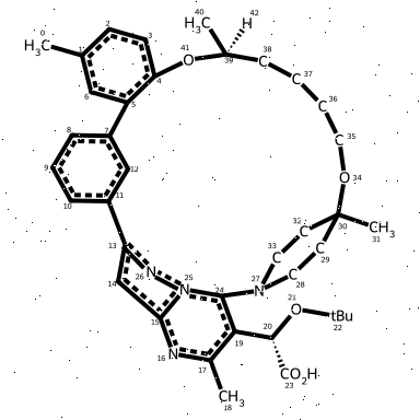 Cc1ccc2c(c1)-c1cccc(c1)-c1cc3nc(C)c([C@H](OC(C)(C)C)C(=O)O)c(n3n1)N1CCC(C)(CC1)OCCCC[C@H](C)O2